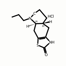 CCCN1CCC[C@@H]2Cc3[nH]c(=O)sc3C[C@H]21.Cl